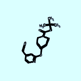 CC(C)(C)OC(=O)N1CCC(Oc2cc(C=O)ccn2)CC1